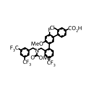 COC(=O)N(Cc1cc(C(F)(F)F)cc(C(F)(F)F)c1)Cc1cc(C(F)(F)F)ccc1-c1cc(-c2ccc(C(=O)O)cc2Cl)c(F)cc1OC